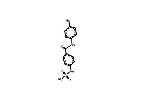 CCC(C)c1ccc(NC(=O)c2ccc(NS(=O)(=O)C(C)(C)C)cc2)cc1